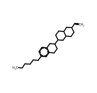 C=CC1CCC2CC(C3CCc4cc(CCCCCC)ccc4C3)CCC2C1